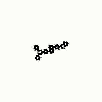 c1ccc(-c2cc(-c3ccc(-c4cccc5c(-c6ccc(-c7cnc8ccccc8c7)cc6)cccc45)cc3)nc(-c3ccccc3)n2)cc1